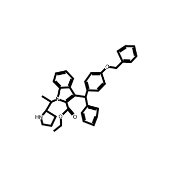 CCOC(=O)c1c(C(c2ccccc2)c2ccc(OCc3ccccc3)cc2)c2ccccc2n1C(C)C1CCCN1